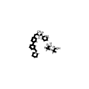 N#C[C@H](Cc1ccc(-c2cccc(CN3CCCCC3)c2)cc1)NC(=O)[C@@H]1CCCCN1.O=C(O)C(F)(F)F.O=C(O)C(F)(F)F